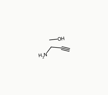 C#CCN.CO